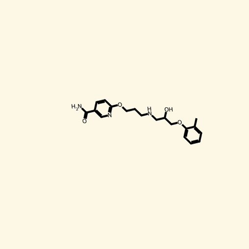 Cc1ccccc1OCC(O)CNCCCOc1ccc(C(N)=O)cn1